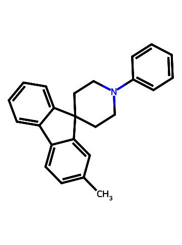 Cc1ccc2c(c1)C1(CCN(c3ccccc3)CC1)c1ccccc1-2